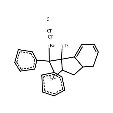 CC1CC2CC=CC=C2[C]1([Ti+3])C(c1ccccc1)(c1ccccc1)C(C)(C)C.[Cl-].[Cl-].[Cl-]